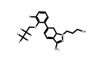 NC1=NN(CCCO)C2CC(c3cccc(F)c3OCC(F)(F)C(F)(F)F)=CC=C12